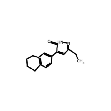 CCc1cc(-c2ccc3c(c2)CCCC3)c(=O)[nH]n1